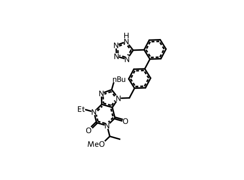 CCCCc1nc2c(c(=O)n(C(C)OC)c(=O)n2CC)n1Cc1ccc(-c2ccccc2-c2nnn[nH]2)cc1